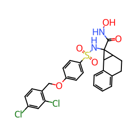 O=C(NO)C1(NS(=O)(=O)c2ccc(OCc3ccc(Cl)cc3Cl)cc2)C2CCc3ccccc3C21